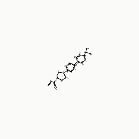 C=CC(=O)[C@H]1CC[C@@H](c2ccc(-c3cnc(C(C)C)nc3)cc2)CC1